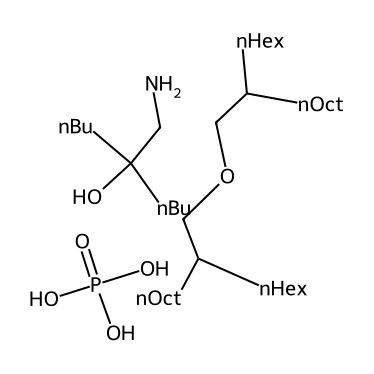 CCCCC(O)(CN)CCCC.CCCCCCCCC(CCCCCC)COCC(CCCCCC)CCCCCCCC.O=P(O)(O)O